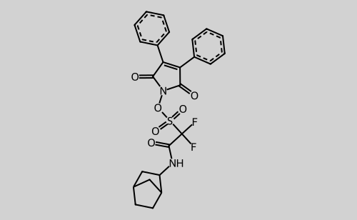 O=C1C(c2ccccc2)=C(c2ccccc2)C(=O)N1OS(=O)(=O)C(F)(F)C(=O)NC1CC2CCC1C2